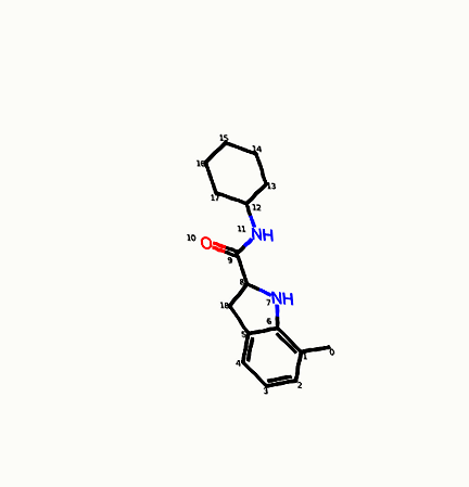 Cc1cccc2c1NC(C(=O)NC1CCCCC1)C2